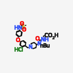 CCCCN(C(=O)NCC(=O)O)C1CCN(Cc2ccc(Oc3ccc(NS(C)(=O)=O)cc3)cc2)CC1.Cl